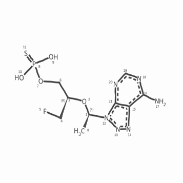 C[C@@H](O[C@@H](CF)COP(O)(O)=S)n1nnc2c(N)ncnc21